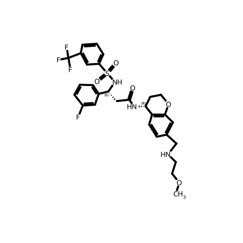 COCCNCc1ccc2c(c1)OCC[C@H]2NC(=O)C[C@@H](NS(=O)(=O)c1cccc(C(F)(F)F)c1)c1cccc(F)c1